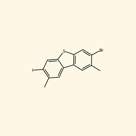 Cc1cc2c(cc1Br)sc1cc(I)c(C)cc12